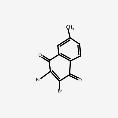 Cc1ccc2c(c1)C(=O)C(Br)=C(Br)C2=O